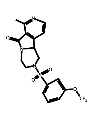 Cc1nccc2c1C(=O)N1CCN(S(=O)(=O)c3cccc(OC(F)(F)F)c3)CC21